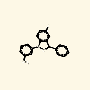 Cc1cccc(B2OC(c3ccccc3)c3cc(F)ccc32)c1